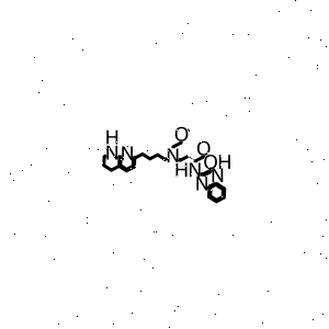 COCCN(CCCCc1ccc2c(n1)NCCC2)CC[C@@H](Nc1cnc2ccccc2n1)C(=O)O